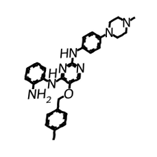 Cc1ccc(COc2cnc(Nc3ccc(N4CCN(C)CC4)cc3)nc2Nc2ccccc2N)cc1